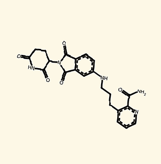 NC(=O)c1ncccc1CCCNc1ccc2c(c1)C(=O)N(C1CCC(=O)NC1=O)C2=O